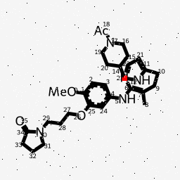 COc1ccc(NC2=C(\C)CC/C(NCC3CCN(C(C)=O)CC3)=C/C=N\2)cc1OCCCN1CCCC1=O